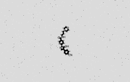 N#Cc1ccc(-c2cnn(-c3ccc(C(=O)NCCCN4CCOCC4)cn3)c2O)cc1